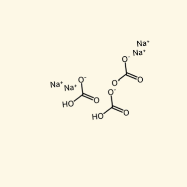 O=C([O-])O.O=C([O-])O.O=C([O-])[O-].[Na+].[Na+].[Na+].[Na+]